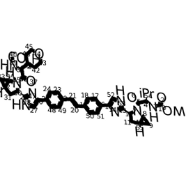 COC(=O)N[C@H](C(=O)N1C2C[C@H]2C[C@H]1c1nc(-c2ccc(C=Cc3ccc(-c4c[nH]c([C@@H]5C[C@H]6C[C@H]6N5C(=O)[C@@H](NC(=O)O)C5CCOCC5)n4)cc3)cc2)c[nH]1)C(C)C